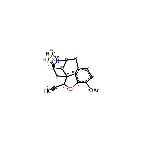 C#CC1Oc2c(OC(C)=O)ccc3c2C12CCN(C)C(C3)C2C=C